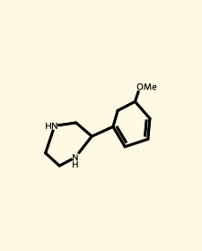 COC1C=CC=C(C2CNCCN2)C1